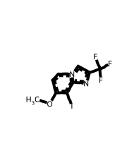 COc1ccn2cc(C(F)(F)F)nc2c1I